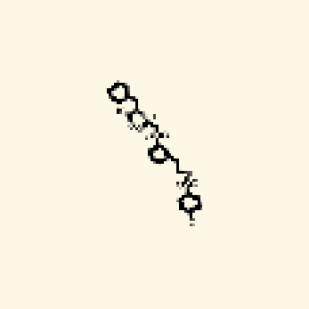 O=C(CS(=O)(=O)c1cccc(CCNS(=O)(=O)c2ccc(Cl)cc2)c1)NC(Cc1ccccc1)C(=O)O